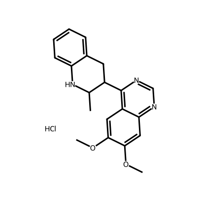 COc1cc2ncnc(C3Cc4ccccc4NC3C)c2cc1OC.Cl